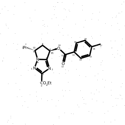 CCOC(=O)c1nc2n(n1)[C@H](C(C)C)C[C@H]2OC(=O)c1ccc(C)cc1